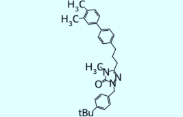 Cc1ccc(-c2ccc(CCCc3nn(Cc4ccc(C(C)(C)C)cc4)c(=O)n3C)cc2)cc1C